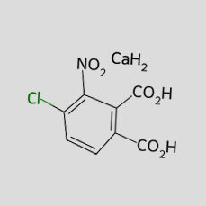 O=C(O)c1ccc(Cl)c([N+](=O)[O-])c1C(=O)O.[CaH2]